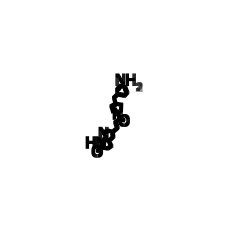 Nc1cccc(CC2=CCN(C(=O)/C=C/c3cnc4c(c3)CCC(=O)N4)CC2)c1